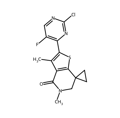 Cc1c(-c2nc(Cl)ncc2F)sc2c1C(=O)N(C)CC21CC1